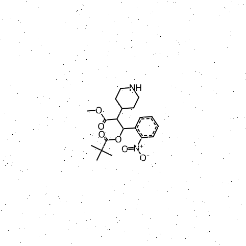 COC(=O)C(C1CCNCC1)C(OC(=O)C(C)(C)C)c1ccccc1[N+](=O)[O-]